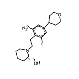 OC[C@@H]1CCCCN1CCc1c(F)cc(C2CCOCC2)cc1P